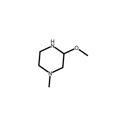 COC1CN(C)CCN1